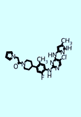 Cc1cc(Nc2nc(Nc3cc(C)c(C4CCN(C(=O)Cn5cccc5)CC4)cc3F)ncc2Cl)n[nH]1